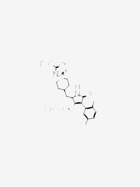 CCOC(=O)OC1=C(c2cc(C)ccc2C)C(=O)NC1CC1CCS(=O)(=NC(=O)C(F)(F)F)CC1